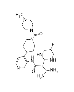 CN1CCN(C(=O)N2CCC(c3ccncc3NC(=O)C(C(N)N)C3NCC(F)CN3)CC2)CC1